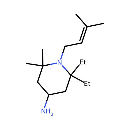 CCC1(CC)CC(N)CC(C)(C)N1CC=C(C)C